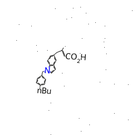 CCCCc1ccc(Cn2ccc3cc(CC(C)=CC(=O)O)ccc32)cc1